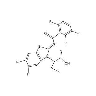 CCC(C(=O)O)n1c(=NC(=O)c2c(F)ccc(F)c2F)sc2cc(F)c(F)cc21